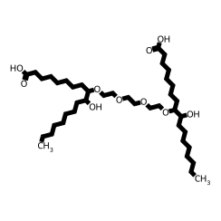 CCCCCCCCC(O)C(CCCCCCCC(=O)O)OCCOCCOCCOC(CCCCCCCC(=O)O)C(O)CCCCCCCC